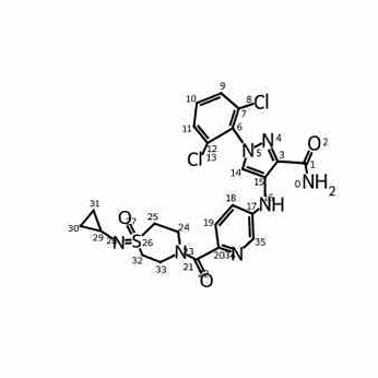 NC(=O)c1nn(-c2c(Cl)cccc2Cl)cc1Nc1ccc(C(=O)N2CCS(=O)(=NC3CC3)CC2)nc1